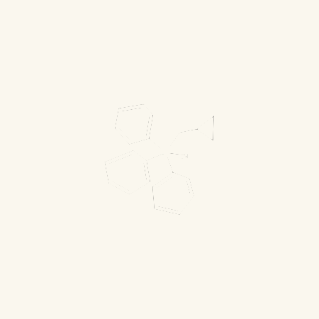 BrP(CC1CC1)(c1ccccc1)(c1ccccc1)c1ccccc1